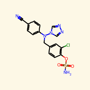 N#Cc1ccc(N(Cc2ccc(OS(N)(=O)=O)c(Cl)c2)n2cnnc2)cc1